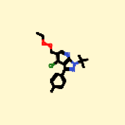 CCOOCc1cnc2c(c(-c3ccc(C)cc3)nn2C(C)(C)C)c1Cl